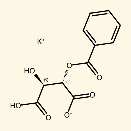 O=C(O[C@H](C(=O)[O-])[C@H](O)C(=O)O)c1ccccc1.[K+]